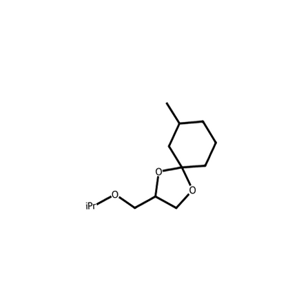 CC1CCCC2(C1)OCC(COC(C)C)O2